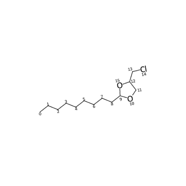 CCCCCCCCCC1OCC(CCl)O1